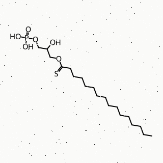 CCCCCCCCCCCCCCCC(=S)OCC(O)COP(=O)(O)O